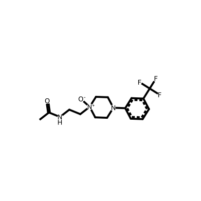 CC(=O)NCC[N+]1([O-])CCN(c2cccc(C(F)(F)F)c2)CC1